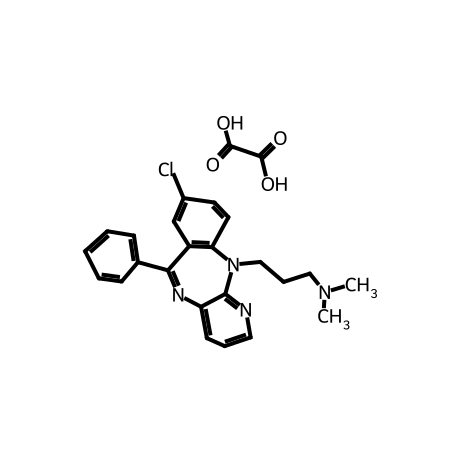 CN(C)CCCN1c2ccc(Cl)cc2C(c2ccccc2)=Nc2cccnc21.O=C(O)C(=O)O